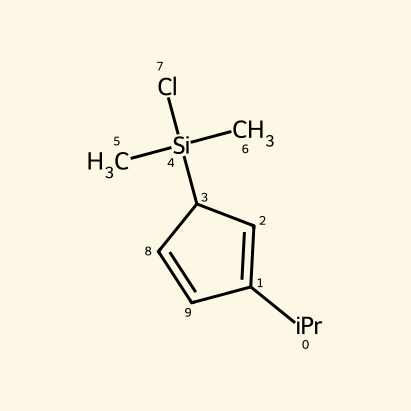 CC(C)C1=CC([Si](C)(C)Cl)C=C1